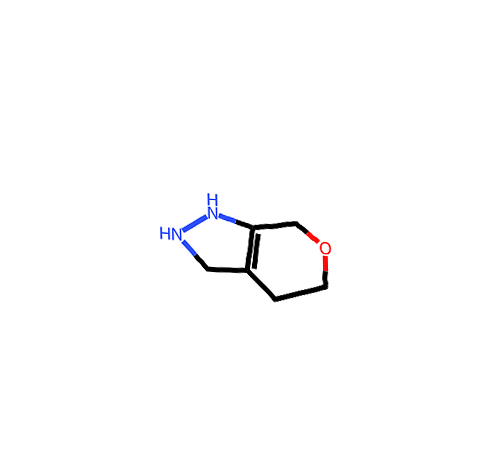 C1CC2=C(CO1)NNC2